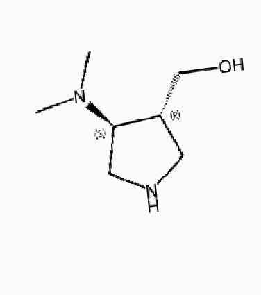 CN(C)[C@@H]1CNC[C@H]1CO